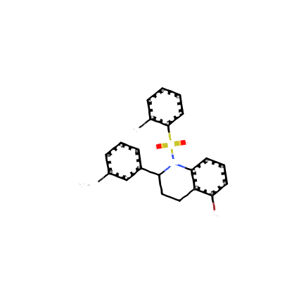 COc1cccc(C2CCc3c(Br)cccc3N2S(=O)(=O)c2ccccc2[N+](=O)[O-])c1